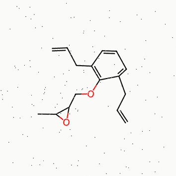 C=CCc1cccc(CC=C)c1OCC1OC1C